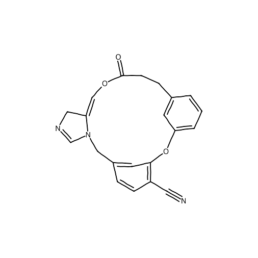 N#Cc1ccc2cc1Oc1cccc(c1)CCC(=O)O/C=C1/CN=CN1C2